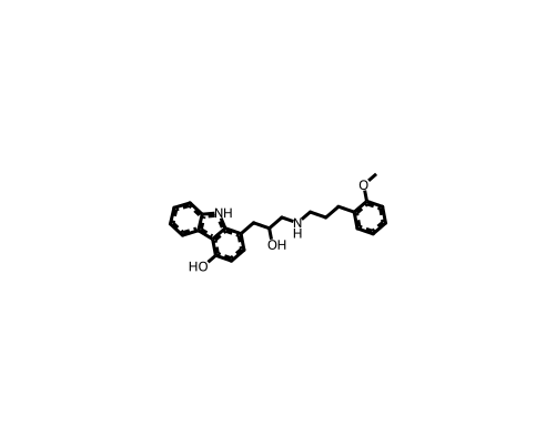 COc1ccccc1CCCNCC(O)Cc1ccc(O)c2c1[nH]c1ccccc12